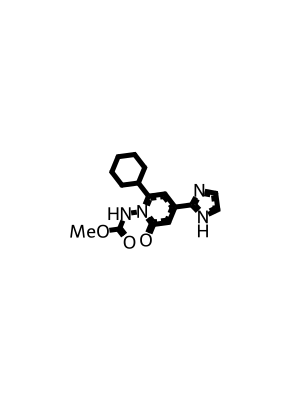 COC(=O)Nn1c(C2CCCCC2)cc(-c2ncc[nH]2)cc1=O